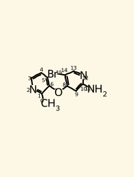 Cc1ncccc1Oc1cc(N)ncc1Br